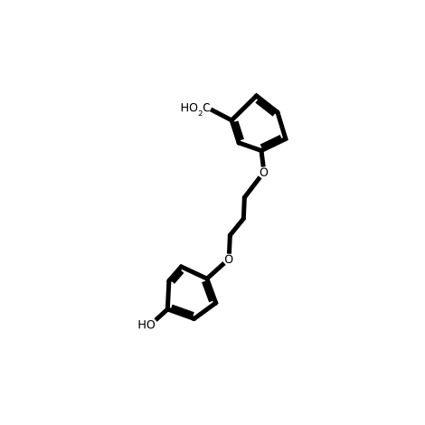 O=C(O)c1cccc(OCCCOc2ccc(O)cc2)c1